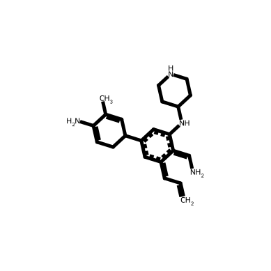 C=C/C=c1/cc(C2C=C(C)C(N)=CC2)cc(NC2CCNCC2)/c1=C/N